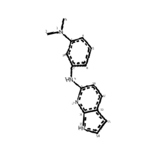 CN(C)c1cccc(Nc2ccc3cc[nH]c3n2)c1